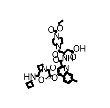 CCOC(=O)N1CCN(C(=O)C(CC(=O)O)NC(=O)c2cc(O[C@@H](C)C(=O)N3CCC3C(=O)NC3CCC3)c3ccc(C)cc3n2)CC1